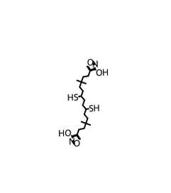 CC(C)(CCc1conc1O)CCC(S)CCC(S)CCC(C)(C)CCc1conc1O